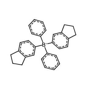 c1ccc([B-](c2ccccc2)(c2ccc3c(c2)CCC3)c2ccc3c(c2)CCC3)cc1